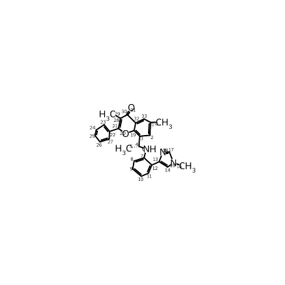 Cc1cc([C@@H](C)Nc2ccccc2-c2cn(C)cn2)c2oc(-c3ccccc3)c(C)c(=O)c2c1